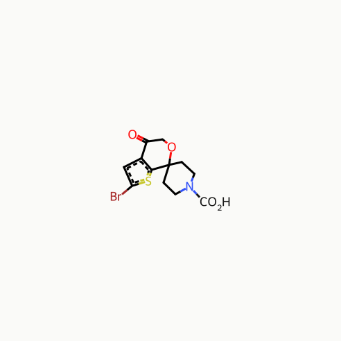 O=C1COC2(CCN(C(=O)O)CC2)c2sc(Br)cc21